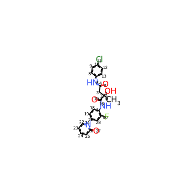 C[C@](O)(CC(=O)Nc1ccc(Cl)cc1)C(=O)Nc1ccc(-n2ccccc2=O)cc1F